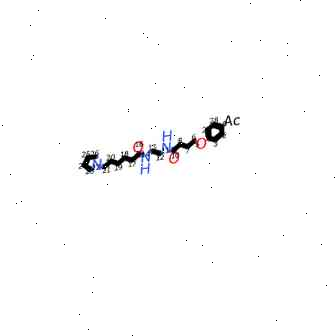 CC(=O)c1ccc(OCCCC(=O)NCCNC(=O)CCCCCN2CC=CC2)cc1